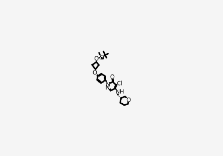 CC(C)(C)[Si](C)(C)O[C@H]1C[C@H](Oc2ccc(-n3ncc(NC[C@H]4CCCOC4)c(Cl)c3=O)cc2)C1